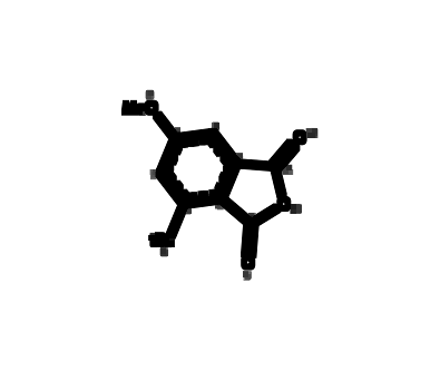 COc1cc2c(c(C(C)(C)C)c1)C(=O)OC2=O